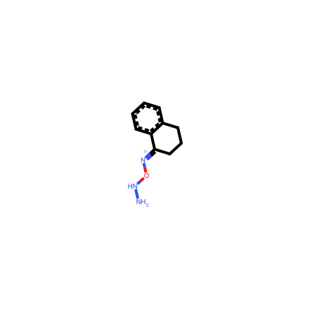 NNO/N=C1\CCCc2ccccc21